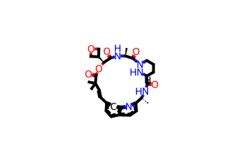 C[C@@H]1NC(=O)[C@H](C2COC2)OC(=O)C(C)(C)/C=C/c2ccc3ccc(nc3c2)[C@@H](C)NC(=O)[C@@H]2CCCN(N2)C1=O